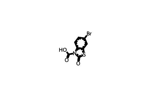 O=C(O)n1c(=O)sc2cc(Br)ccc21